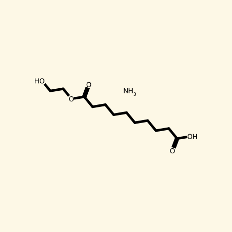 N.O=C(O)CCCCCCCCC(=O)OCCO